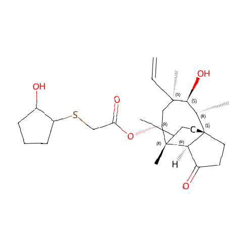 C=C[C@]1(C)C[C@@H](OC(=O)CSC2CCCC2O)[C@]2(C)C(C)CC[C@]3(CCC(=O)[C@H]32)[C@@H](C)[C@@H]1O